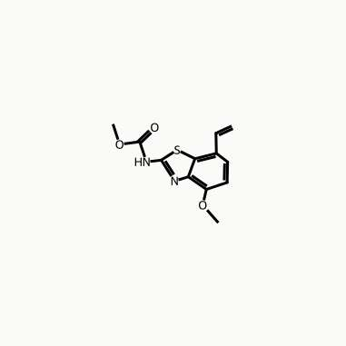 C=Cc1ccc(OC)c2nc(NC(=O)OC)sc12